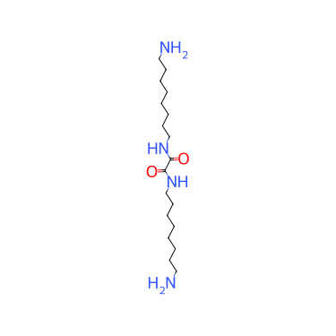 NCCCCCCCCNC(=O)C(=O)NCCCCCCCCN